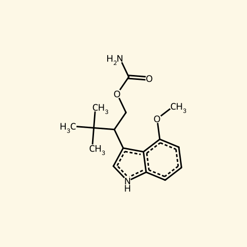 COc1cccc2[nH]cc(C(COC(N)=O)C(C)(C)C)c12